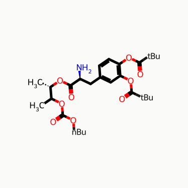 CCCCOC(=O)OC(C)[C@H](C)OC(=O)[C@@H](N)Cc1ccc(OC(=O)C(C)(C)C)c(OC(=O)C(C)(C)C)c1